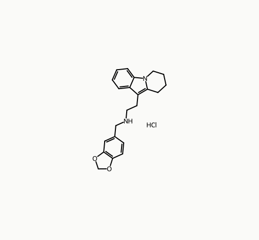 Cl.c1ccc2c(c1)c(CCNCc1ccc3c(c1)OCO3)c1n2CCCC1